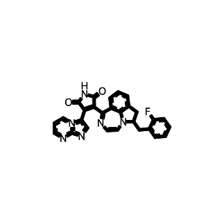 O=C1NC(=O)C(c2cnc3ncccn23)=C1C1=NC=CN2c3c(cccc31)CC2Cc1ccccc1F